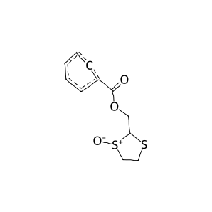 O=C(OCC1SCC[S+]1[O-])c1ccccc1